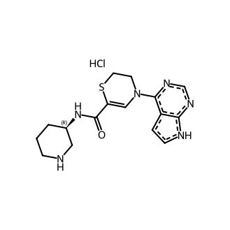 Cl.O=C(N[C@@H]1CCCNC1)C1=CN(c2ncnc3[nH]ccc23)CCS1